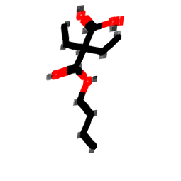 CCCCOC(=O)C(CC)(CC)C(=O)O